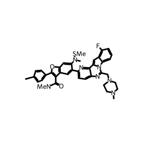 CNC(=O)c1c(-c2ccc(C)cc2)oc2cc(N(C)SC)c(-c3ccc4nc(CN5CCN(C)CC5)n5c6cccc(F)c6cc5c4n3)cc12